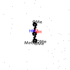 COc1ccc(/C=C/C(=O)Nc2ccc(/C=C/c3cc(OC)c(OC)c(OC)c3)cc2O)cc1